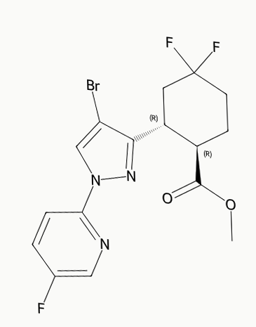 COC(=O)[C@@H]1CCC(F)(F)C[C@H]1c1nn(-c2ccc(F)cn2)cc1Br